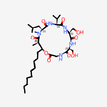 CCCCCCCCCCC1OC(=O)CNC(=O)[C@H](CO)NC(=O)[C@H](CO)NC(=O)[C@H](C(C)C)NC(=O)[C@H](CC(C)C)N(C)C(=O)[C@@H]1C